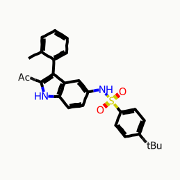 CC(=O)c1[nH]c2ccc(NS(=O)(=O)c3ccc(C(C)(C)C)cc3)cc2c1-c1ccccc1C